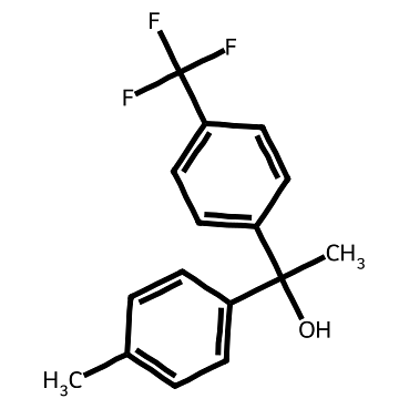 Cc1ccc(C(C)(O)c2ccc(C(F)(F)F)cc2)cc1